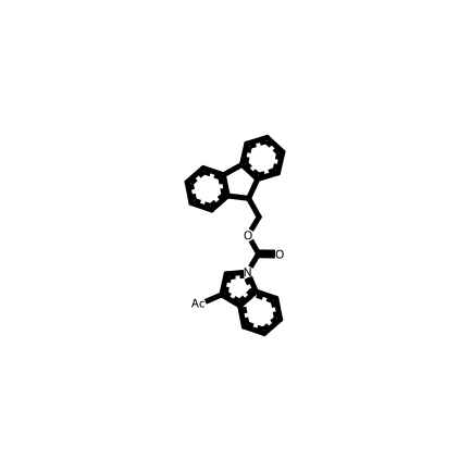 CC(=O)c1cn(C(=O)OCC2c3ccccc3-c3ccccc32)c2ccccc12